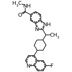 CNC(=O)c1ccc2[nH]c(C(C)C3CCC(c4ccnc5ccc(F)cc45)CC3)nc2c1